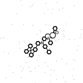 C1=C2\C(CCc3ccc(N(c4ccc(-c5ccccc5)cc4)c4cccc(-c5ccc6c(c5)C5(c7ccccc7-c7ccccc75)c5ccccc5-6)c4)cc3N2c2ccccc2)Cc2c(oc3ccccc23)CC/1